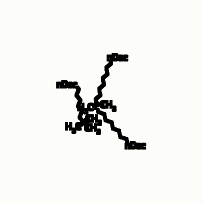 CCCCCCCCCCCCCCCCCC[P+](C)(C)CCCCCCCCCCCCCCCCCC.CCCCCCCCCCCCCCCC[N+](C)(C)C